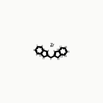 C1=C(CC2=Cc3ccccc3C2)Cc2ccccc21.[Zr]